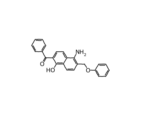 Nc1c(COc2ccccc2)ccc2c(O)c(C(=O)c3ccccc3)ccc12